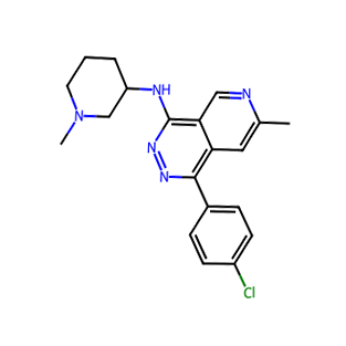 Cc1cc2c(-c3ccc(Cl)cc3)nnc(NC3CCCN(C)C3)c2cn1